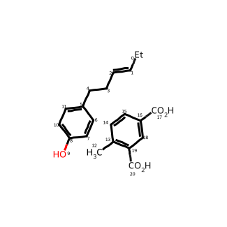 CCC=CCCc1ccc(O)cc1.Cc1ccc(C(=O)O)cc1C(=O)O